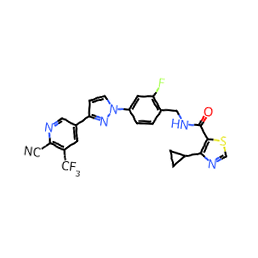 N#Cc1ncc(-c2ccn(-c3ccc(CNC(=O)c4scnc4C4CC4)c(F)c3)n2)cc1C(F)(F)F